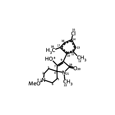 CON1CCC2(CC1)C(O)=C(c1c(C)cc(Cl)cc1C)C(=O)N2C